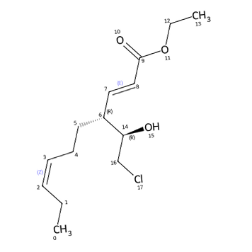 CC/C=C\CC[C@H](/C=C/C(=O)OCC)[C@@H](O)CCl